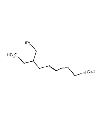 CCCCCCCCCCCCCC(CC(=O)O)CC(C)C